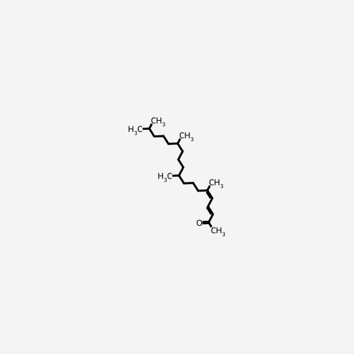 CC(=O)C=CC=C(C)CCCC(C)CCCC(C)CCCC(C)C